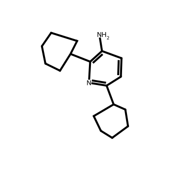 Nc1ccc(C2CCCCC2)nc1C1CCCCC1